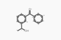 CC(O)c1cccc(C(=O)c2ccccc2)c1